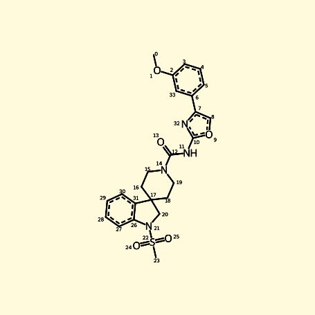 COc1cccc(-c2coc(NC(=O)N3CCC4(CC3)CN(S(C)(=O)=O)c3ccccc34)n2)c1